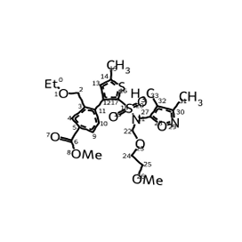 CCOCc1cc(C(=O)OC)ccc1-c1cc(C)sc1S(=O)(=O)N(COCCOC)c1onc(C)c1C